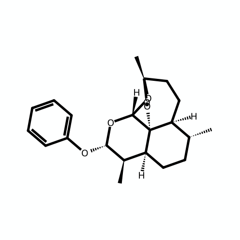 C[C@H]1[C@H](Oc2ccccc2)O[C@@H]2O[C@@]3(C)CC[C@H]4[C@H](C)CC[C@@H]1[C@@]24OO3